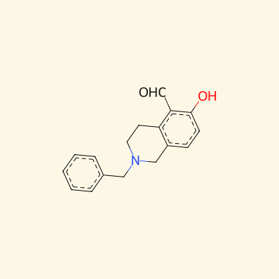 O=Cc1c(O)ccc2c1CCN(Cc1ccccc1)C2